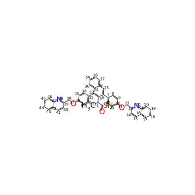 CC(C(=O)S)c1c(-c2ccc(OCc3ccc4ccccc4n3)cc2)cc2ccccc2c1-c1ccc(OCc2ccc3ccccc3n2)cc1